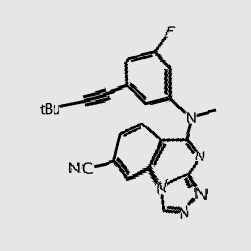 CN(c1cc(F)cc(C#CC(C)(C)C)c1)c1nc2nncn2c2cc(C#N)ccc12